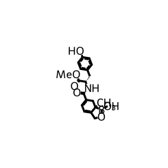 COC(=O)[C@H](Cc1ccc(O)cc1)NC(=O)C1=CC=C2COB(O)C2(C)C1